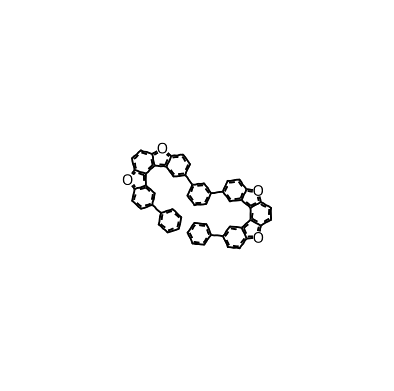 c1ccc(-c2ccc3oc4ccc5oc6ccc(-c7cccc(-c8ccc9oc%10ccc%11oc%12ccc(-c%13ccccc%13)cc%12c%11c%10c9c8)c7)cc6c5c4c3c2)cc1